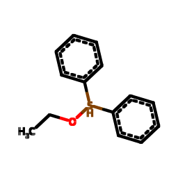 CCO[SH](c1ccccc1)c1ccccc1